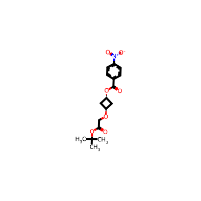 CC(C)(C)OC(=O)CO[C@H]1C[C@H](OC(=O)c2ccc([N+](=O)[O-])cc2)C1